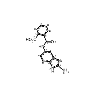 Nc1nc2cc(NC(=O)c3ccccc3C(=O)O)ccc2[nH]1